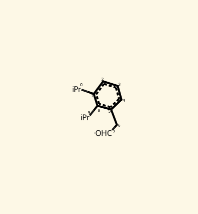 CC(C)c1cccc(C[C]=O)c1C(C)C